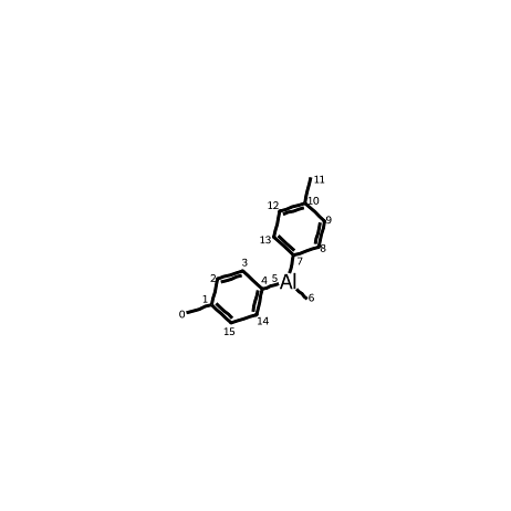 Cc1cc[c]([Al]([CH3])[c]2ccc(C)cc2)cc1